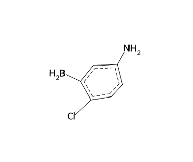 Bc1cc(N)ccc1Cl